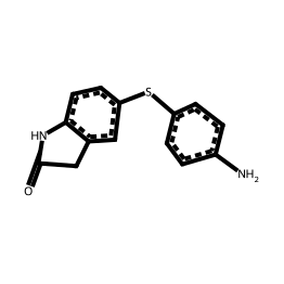 Nc1ccc(Sc2ccc3c(c2)CC(=O)N3)cc1